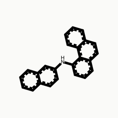 c1ccc2cc(Nc3cccc4ccc5ccccc5c34)ccc2c1